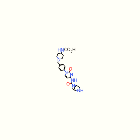 O=C(O)NC1CCN(Cc2ccc(-n3ccc(NC(=O)N4CC5CC4CN5)nc3=O)cc2)CC1